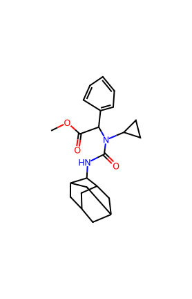 COC(=O)C(c1ccccc1)N(C(=O)NC1C2CC3CC(C2)CC1C3)C1CC1